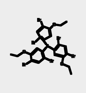 CCOc1cc(B(c2cc(OCC)c(Br)cc2Br)c2cc(OCC)c(Br)cc2Br)c(Br)cc1Br